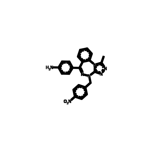 Cc1nnc2n1-c1ccccc1C(c1ccc(N)cc1)=NN2Cc1ccc([N+](=O)[O-])cc1